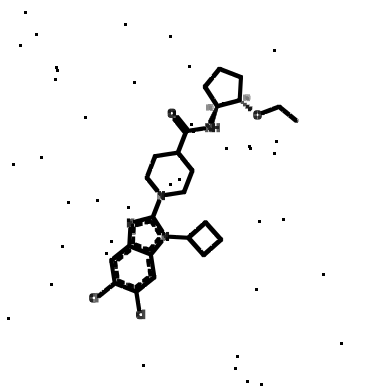 CCO[C@H]1CCC[C@@H]1NC(=O)C1CCN(c2nc3cc(Cl)c(Cl)cc3n2C2CCC2)CC1